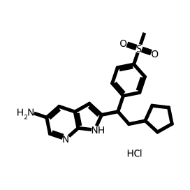 CS(=O)(=O)c1ccc(C(CC2CCCC2)c2cc3cc(N)cnc3[nH]2)cc1.Cl